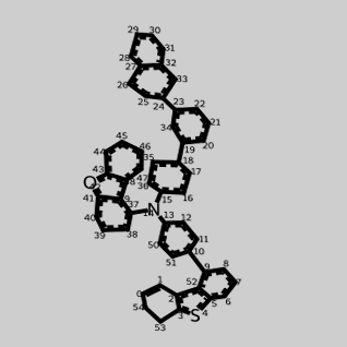 C1=Cc2c(sc3cccc(-c4ccc(N(c5ccc(-c6cccc(-c7ccc8ccccc8c7)c6)cc5)c5cccc6oc7ccccc7c56)cc4)c23)CC1